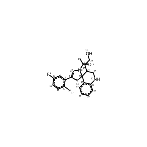 CC(=O)N1N=C(c2cc(F)ccc2F)SC12c1ccccc1NCC2CCO